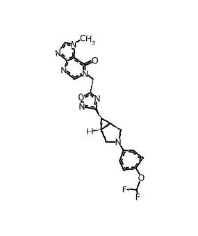 Cn1cnc2ncn(Cc3nc([C@H]4C5CN(c6ccc(OC(F)F)cc6)C[C@@H]54)no3)c(=O)c21